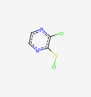 ClSc1nccnc1Cl